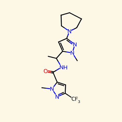 CC(NC(=O)c1cc(C(F)(F)F)nn1C)c1cc(N2CCCCC2)nn1C